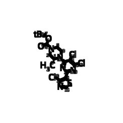 C[C@@H]1CN(C(=O)OC(C)(C)C)CCN1c1nc(-c2scnc2Cl)nc(Cl)c1Cl